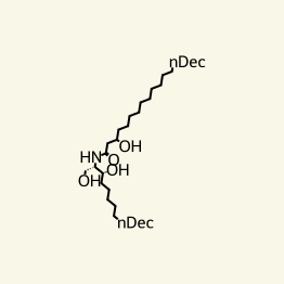 CCCCCCCCCCCCCCCCCCCCC(O)CC(=O)N[C@@H](CO)[C@H](O)CCCCCCCCCCCCCCC